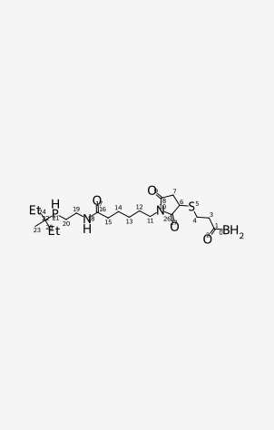 BC(=O)CCSC1CC(=O)N(CCCCCC(=O)NCCPC(C)(CC)CC)C1=O